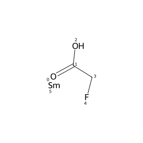 O=C(O)CF.[Sm]